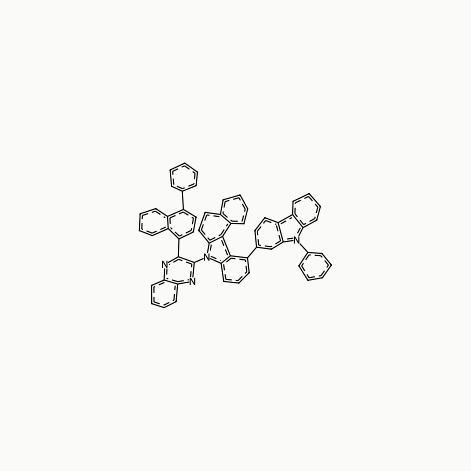 c1ccc(-c2ccc(-c3nc4ccccc4nc3-n3c4cccc(-c5ccc6c7ccccc7n(-c7ccccc7)c6c5)c4c4c5ccccc5ccc43)c3ccccc23)cc1